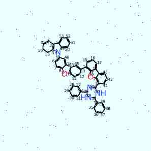 C1=Cc2c(n(-c3ccc4oc5ccc(-c6cccc7c6oc6c(C8N=C(c9ccccc9)NC(c9ccccc9)N8)cccc67)cc5c4c3)c3ccccc23)CC1